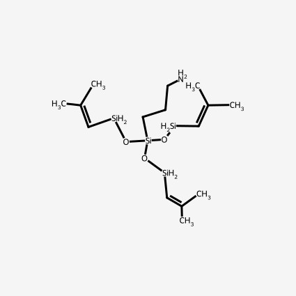 CC(C)=C[SiH2]O[Si](CCCN)(O[SiH2]C=C(C)C)O[SiH2]C=C(C)C